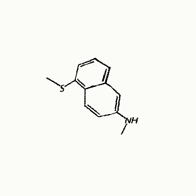 CNc1ccc2c(SC)cccc2c1